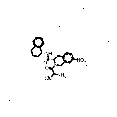 CC(C)(C)C(N)C(=O)N1Cc2cc([N+](=O)[O-])ccc2C[C@H]1C(=O)N[C@@H]1CCCc2ccccc21